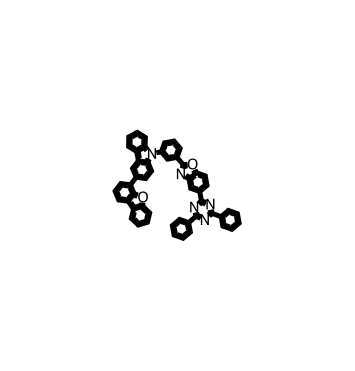 c1ccc(-c2nc(-c3ccccc3)nc(-c3ccc4oc(-c5cccc(-n6c7ccccc7c7cc(-c8cccc9c8oc8ccccc89)ccc76)c5)nc4c3)n2)cc1